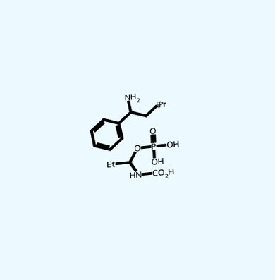 CC(C)CC(N)c1ccccc1.CCC(NC(=O)O)OP(=O)(O)O